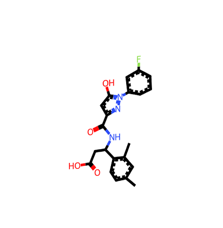 Cc1ccc(C(CC(=O)O)NC(=O)c2cc(O)n(-c3cccc(F)c3)n2)c(C)c1